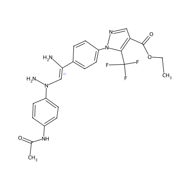 CCOC(=O)c1cnn(-c2ccc(/C(N)=C/N(N)c3ccc(NC(C)=O)cc3)cc2)c1C(F)(F)F